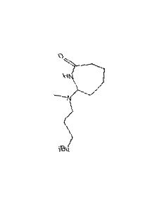 CCC(C)CCCN(C)C1CCCCC(=O)N1